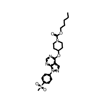 CCCCCOC(=O)N1CCC(Oc2ncnc3c2cnn3-c2ccc(S(C)(=O)=O)cc2)CC1